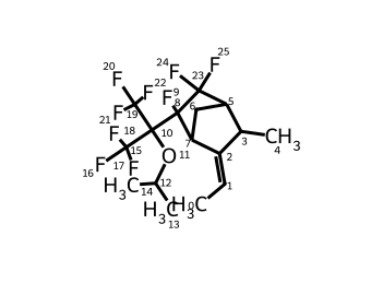 CC=C1C(C)C2CC1C(F)(C(OC(C)C)(C(F)(F)F)C(F)(F)F)C2(F)F